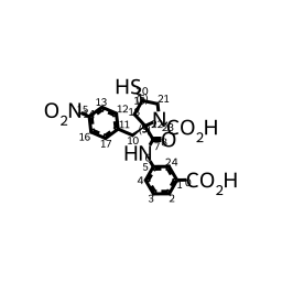 O=C(O)c1cccc(NC(=O)[C@]2(Cc3ccc([N+](=O)[O-])cc3)C[C@H](S)CN2C(=O)O)c1